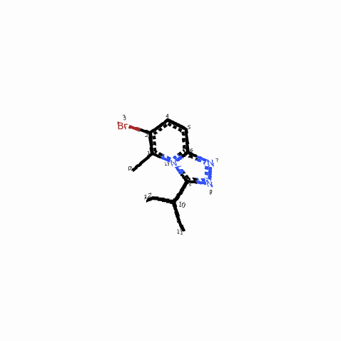 Cc1c(Br)ccc2nnc(C(C)C)n12